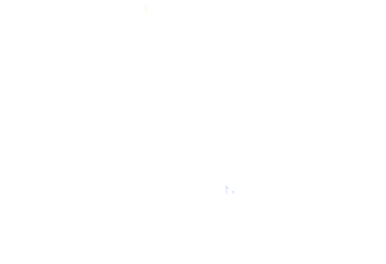 Sc1ccc2c(c1)-c1cccnc1C2